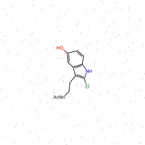 CC(=O)NCCc1c(Cl)[nH]c2ccc(O)cc12